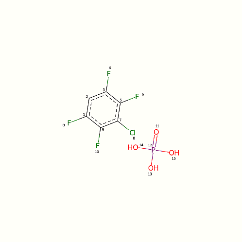 Fc1cc(F)c(F)c(Cl)c1F.O=P(O)(O)O